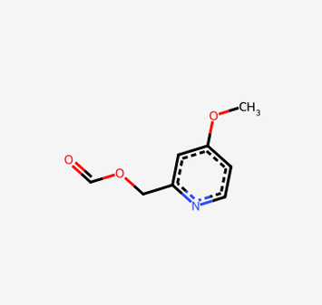 COc1ccnc(COC=O)c1